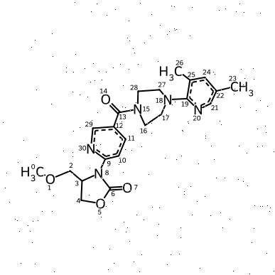 COCC1COC(=O)N1c1ccc(C(=O)N2CCN(c3ncc(C)cc3C)CC2)cn1